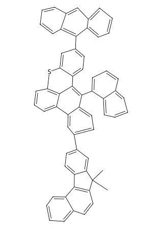 CC1(C)c2cc(-c3ccc4c(-c5cccc6ccccc56)c5c6c(cccc6c4c3)Sc3cc(-c4c6ccccc6cc6ccccc46)ccc3-5)ccc2-c2c1ccc1ccccc21